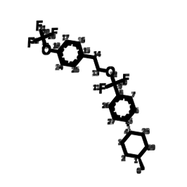 C[C@H]1CC[C@H](c2ccc(C(F)(F)OCCc3ccc(OC(F)(F)F)cc3)cc2)CC1